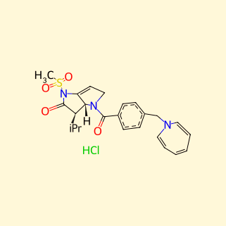 CC(C)[C@H]1C(=O)N(S(C)(=O)=O)C2=CCN(C(=O)c3ccc(CN4C=CC=CC=C4)cc3)[C@@H]21.Cl